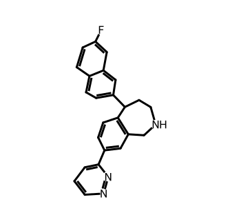 Fc1ccc2ccc(C3CCNCc4cc(-c5cccnn5)ccc43)cc2c1